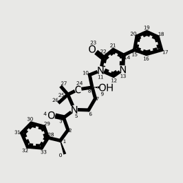 C[C@H](CC(=O)N1CC[C@](O)(Cn2cnc(-c3ccccc3)cc2=O)CC1(C)C)c1ccccc1